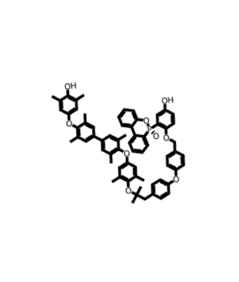 Cc1cc(Oc2c(C)cc(-c3cc(C)c(Oc4cc(C)c(OC(C)(C)Cc5ccc(Oc6ccc(COc7ccc(O)cc7P7(=O)Oc8ccccc8-c8ccccc87)cc6)cc5)c(C)c4)c(C)c3)cc2C)cc(C)c1O